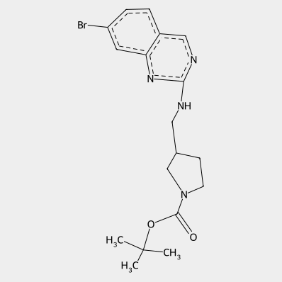 CC(C)(C)OC(=O)N1CCC(CNc2ncc3ccc(Br)cc3n2)C1